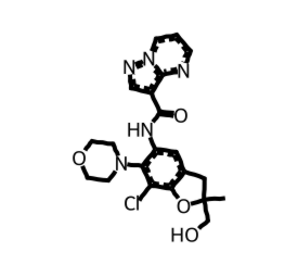 CC1(CO)Cc2cc(NC(=O)c3cnn4cccnc34)c(N3CCOCC3)c(Cl)c2O1